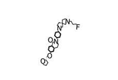 O=C1c2ccc(OC[C@@H]3CCCO3)cc2CCN1c1ccc(N2CC[C@]3(CCN(CCCF)C3)C2)cc1